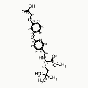 COC(=O)[C@H](CCC(C)(C)C)NCc1ccc(Oc2cccc(OCC(=O)O)c2)nc1